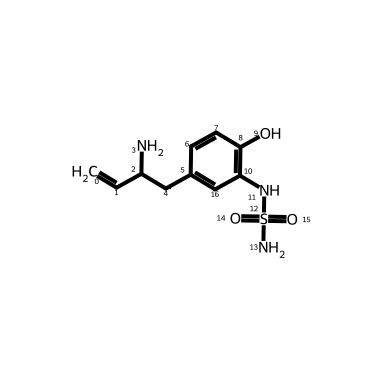 C=CC(N)[CH]c1ccc(O)c(NS(N)(=O)=O)c1